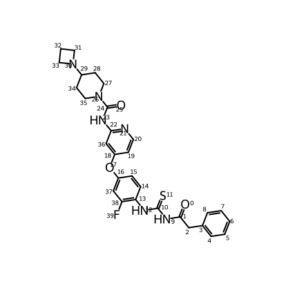 O=C(Cc1ccccc1)NC(=S)Nc1ccc(Oc2ccnc(NC(=O)N3CCC(N4CCC4)CC3)c2)cc1F